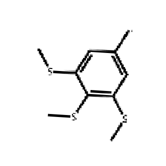 [CH2]c1cc(SC)c(SC)c(SC)c1